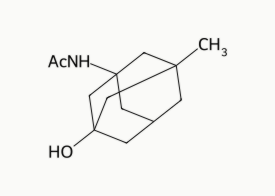 CC(=O)NC12CC3CC(C)(CC(O)(C3)C1)C2